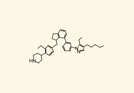 CCCCCc1cnn(-c2cccc(-c3cccc4c3C(Cc3ccc(C5CCNCC5)c(CC)c3)CC4)c2)c1CC